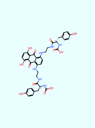 O=C(O)N[C@@H](Cc1ccc(O)cc1)C(=O)NCCNc1ccc(NCCNC(=O)[C@H](Cc2ccc(O)cc2)NC(=O)O)c2c1C(=O)c1c(O)ccc(O)c1C2=O